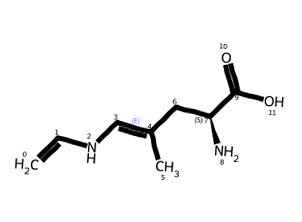 C=CN/C=C(\C)C[C@H](N)C(=O)O